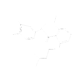 CCOc1cccc(OCCN(C)C)c1C(=O)N(C)c1ccc(Cl)c(C(F)(F)F)c1